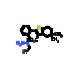 CC(C)CN(N)Cc1ccccc1-c1sc2c(c1C(=O)O)CC(C)(C)CC2